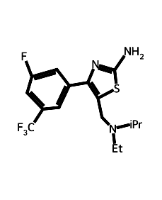 CCN(Cc1sc(N)nc1-c1cc(F)cc(C(F)(F)F)c1)C(C)C